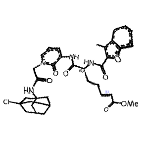 COC(=O)/C=C/CC[C@H](NC(=O)c1oc2ccccc2c1C)C(=O)Nc1cccn(CC(=O)NC23CC4CC(CC(Cl)(C4)C2)C3)c1=O